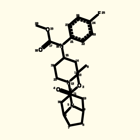 CCOC(=O)N1C2CCC1CC(N1CCC(N(C(=O)OC)c3ccc(F)cc3)CC1)C2